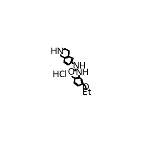 CCOc1ccc(C)c(NC(=O)Nc2ccc3c(c2)CCNC3)c1.Cl